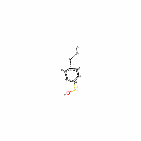 CCCc1ccc([S+]=O)cc1